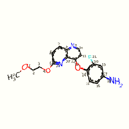 COCCOc1ccc2nccc(Oc3ccc(N)cc3F)c2n1